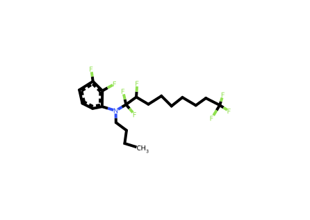 CCCCN(c1cccc(F)c1F)C(F)(F)C(F)CCCCCCC(F)(F)F